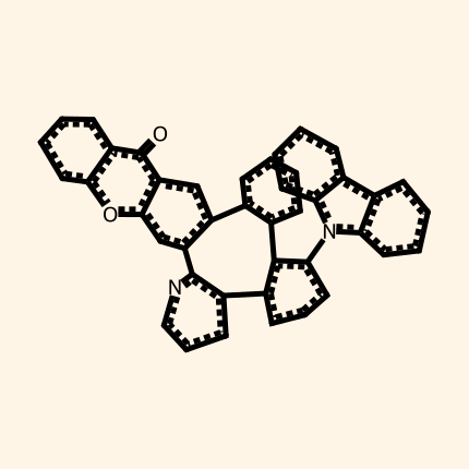 O=c1c2ccccc2oc2cc3c(cc12)-c1ccccc1-c1c(cccc1-n1c2ccccc2c2ccccc21)-c1cccnc1-3